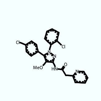 COc1c(NC(=O)Cc2ccccn2)nn(-c2ccccc2Cl)c1-c1ccc(Cl)cc1